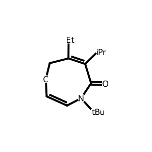 CC/C1=C(\C(C)C)C(=O)N(C(C)(C)C)/C=C\CC1